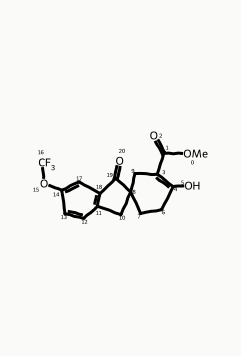 COC(=O)C1=C(O)CCC2(C1)Cc1ccc(OC(F)(F)F)cc1C2=O